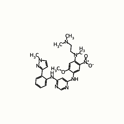 COc1cc(N(C)CCN(C)C)c([N+](=O)[O-])cc1Nc1cc(Nc2ccccc2-c2ccn(C)n2)ncn1